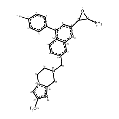 NC1OC1c1cc(-c2ccc(F)cc2)c2ccc(CN3CCn4cc(C(F)(F)F)nc4C3)cc2n1